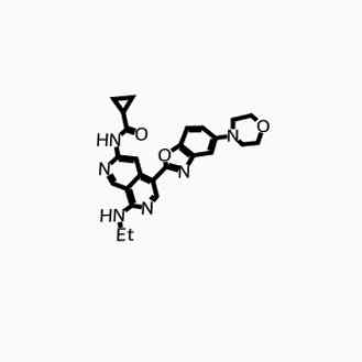 CCNc1ncc(-c2nc3cc(N4CCOCC4)ccc3o2)c2cc(NC(=O)C3CC3)ncc12